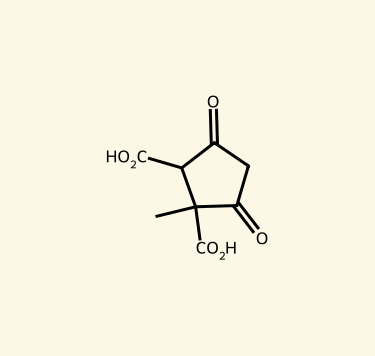 CC1(C(=O)O)C(=O)CC(=O)C1C(=O)O